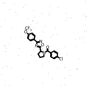 O=C(c1ccc(Cl)cc1)N1CCCC1c1nc(-c2ccc(OC(F)(F)F)cc2)no1